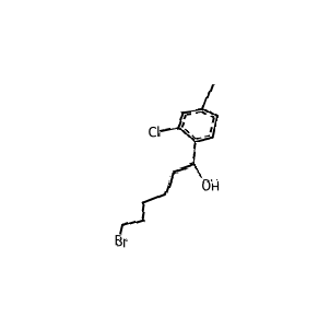 Cc1ccc(C(O)CCCCCBr)c(Cl)c1